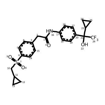 O=C(Cc1ccc(S(=O)(=O)CC2CC2)cc1)Nc1ccc(C(O)(C2CC2)C(F)(F)F)cc1